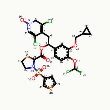 O=C(O[C@@H](CC1=C(Cl)C[NH+]([O-])C=C1Cl)c1ccc(OC(F)F)c(OCC2CC2)c1)C1SCCN1S(=O)(=O)c1ccsc1